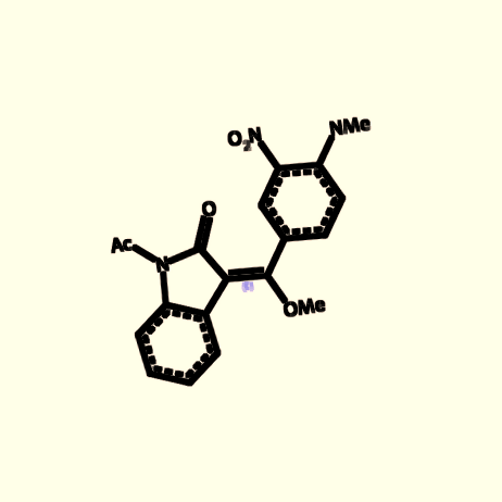 CNc1ccc(/C(OC)=C2\C(=O)N(C(C)=O)c3ccccc32)cc1[N+](=O)[O-]